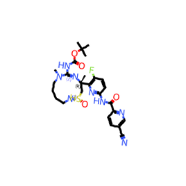 CN1CCCC/N=[SH](=O)/C[C@@](C)(c2nc(NC(=O)c3ccc(C#N)cn3)ccc2F)/N=C\1NC(=O)OC(C)(C)C